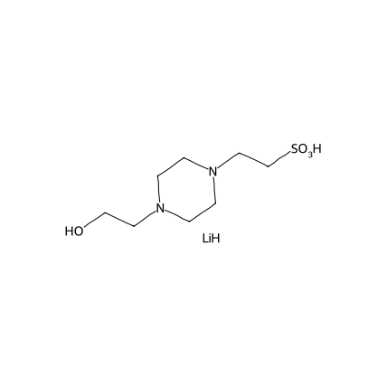 O=S(=O)(O)CCN1CCN(CCO)CC1.[LiH]